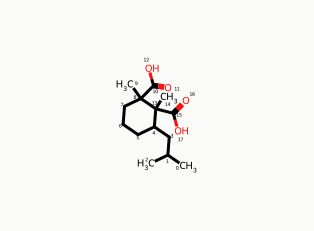 CC(C)CC1CCCC(C)(C(=O)O)C1(C)C(=O)O